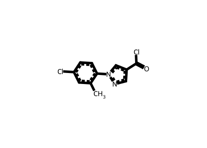 Cc1cc(Cl)ccc1-n1cc(C(=O)Cl)cn1